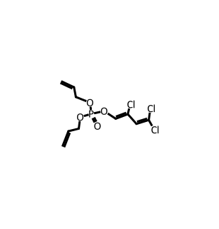 C=CCOP(=O)(OC=C(Cl)C=C(Cl)Cl)OCC=C